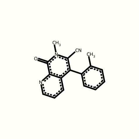 Cc1ccccc1-c1c(C#N)n(C)c(=O)c2ncccc12